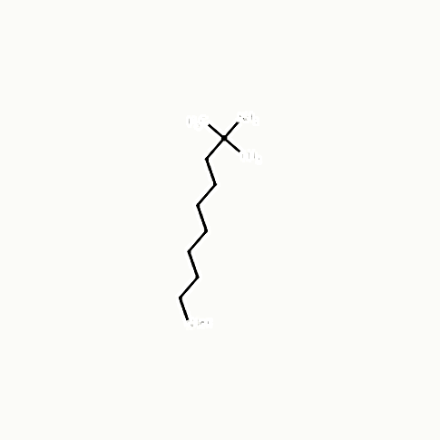 CCCCCCCCCCCCCC(C)(C)N